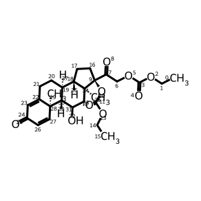 CCOC(=O)OCC(=O)[C@@]1(OC(=O)OCC)CC[C@H]2[C@@H]3CCC4=CC(=O)C=C[C@]4(C)[C@H]3C(O)C[C@@]21C